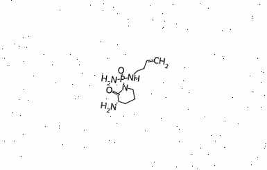 C=CCCNP(N)(=O)N1CCC[C@H](N)C1=O